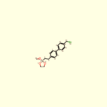 CO[Si](CCc1ccc(-c2ccc(CBr)cc2)cc1)(OC)OC